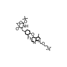 COC(=O)[C@H](Cc1ccc(Oc2ncnc3c2c(C)cn3COCC[Si](C)(C)C)c(F)c1)NC(=O)OC(C)(C)C